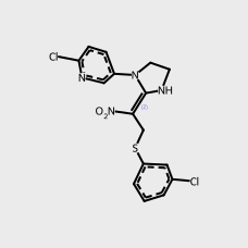 O=[N+]([O-])/C(CSc1cccc(Cl)c1)=C1/NCCN1c1ccc(Cl)nc1